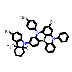 Cc1cc2c3c(c1)N(c1ccc(C(C)(C)C)cc1)c1cc(N4c5ccc(C(C)(C)C)cc5C5(C)CCCCC45C)ccc1B3c1ccccc1N2c1ccccc1